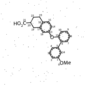 COc1cccc(-c2ccccc2Oc2ccc3c(c2)CC(C(=O)O)CC3)c1